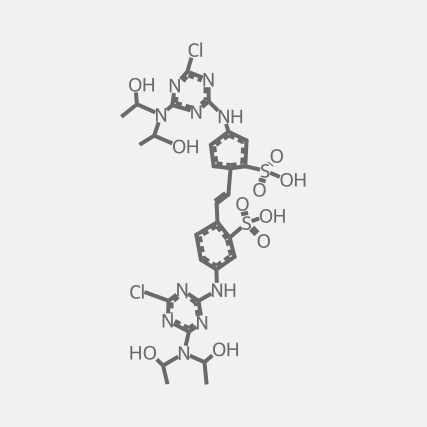 CC(O)N(c1nc(Cl)nc(Nc2ccc(C=Cc3ccc(Nc4nc(Cl)nc(N(C(C)O)C(C)O)n4)cc3S(=O)(=O)O)c(S(=O)(=O)O)c2)n1)C(C)O